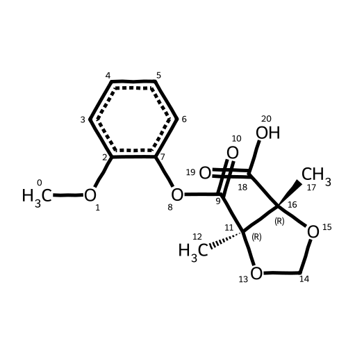 COc1ccccc1OC(=O)[C@]1(C)OCO[C@@]1(C)C(=O)O